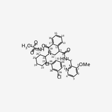 COc1cccnc1CNC(=O)[C@@H]1c2ccccc2C(=O)N(C2CCCC[C@@H]2NS(C)(=O)=O)[C@H]1c1ccc(Cl)cc1Cl